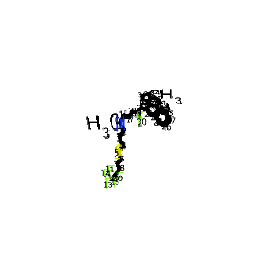 CN(CCCSCCCC(F)(F)C(F)(F)F)CCCC(F)CC1Cc2ccccc2[C@H]2CC[C@]3(C)CCC[C@H]3[C@H]12